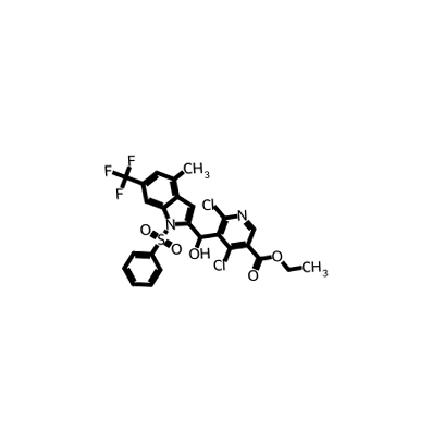 CCOC(=O)c1cnc(Cl)c(C(O)c2cc3c(C)cc(C(F)(F)F)cc3n2S(=O)(=O)c2ccccc2)c1Cl